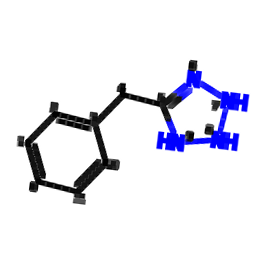 c1ccc(CC2=NNNN2)cc1